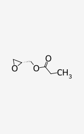 CCC(=O)OC[C@H]1CO1